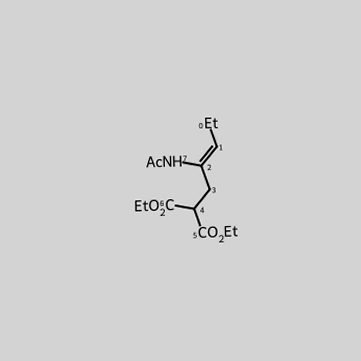 CC/C=C(/CC(C(=O)OCC)C(=O)OCC)NC(C)=O